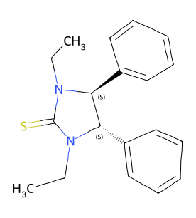 CCN1C(=S)N(CC)[C@@H](c2ccccc2)[C@@H]1c1ccccc1